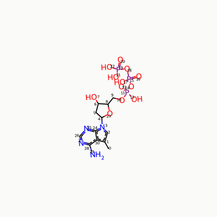 Cc1cn(C2CC(O)C(COP(=O)(O)OP(=O)(O)OP(=O)(O)O)O2)c2ncnc(N)c12